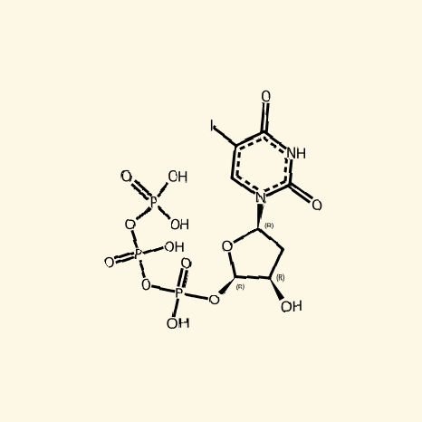 O=c1[nH]c(=O)n([C@H]2C[C@@H](O)[C@@H](OP(=O)(O)OP(=O)(O)OP(=O)(O)O)O2)cc1I